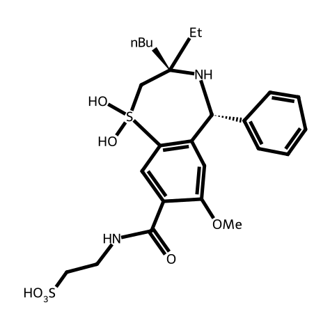 CCCC[C@]1(CC)CS(O)(O)c2cc(C(=O)NCCS(=O)(=O)O)c(OC)cc2[C@@H](c2ccccc2)N1